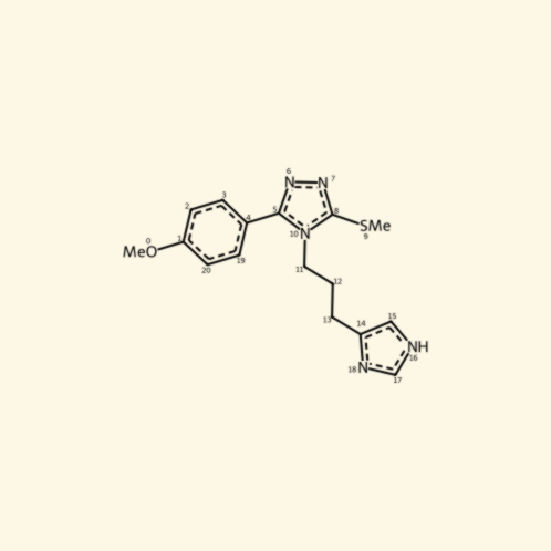 COc1ccc(-c2nnc(SC)n2CCCc2c[nH]cn2)cc1